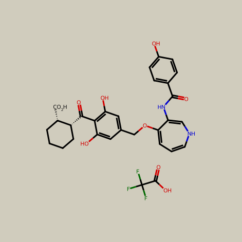 O=C(NC1=CNC=CC=C1OCc1cc(O)c(C(=O)[C@@H]2CCCC[C@@H]2C(=O)O)c(O)c1)c1ccc(O)cc1.O=C(O)C(F)(F)F